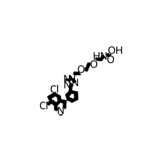 CN1Cc2c(Cl)cc(Cl)cc2[C@H](c2cccc(-c3nnn(CCOCCOCCNC(=O)O)n3)c2)C1